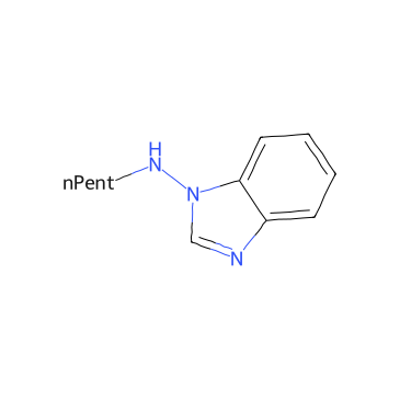 CCCCCNn1cnc2ccccc21